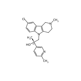 Cc1ccc([C@](C)(O)Cn2c3c(c4cc(Cl)ccc42)CN(C)CC3)cn1